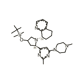 Cc1nc([C@H]2CC(O[Si](C)(C)C(C)(C)C)CN2[C@H]2CCCc3cccnc32)cc(N2CCN(C)CC2)n1